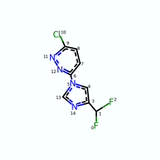 FC(F)c1cn(-c2ccc(Cl)nn2)cn1